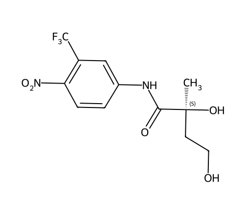 C[C@](O)(CCO)C(=O)Nc1ccc([N+](=O)[O-])c(C(F)(F)F)c1